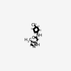 CN1C=NNN1CC(=O)Nc1ccc(Cl)cc1